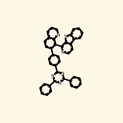 c1ccc(-c2nc(-c3ccccc3)nc(-c3ccc(-c4ccc5cccnc5c4-c4nccc5c4sc4ccccc45)cc3)n2)cc1